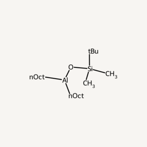 CCCCCCC[CH2][Al]([CH2]CCCCCCC)[O][Si](C)(C)C(C)(C)C